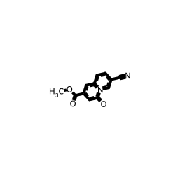 COC(=O)c1cc(=O)n2cc(C#N)ccc2c1